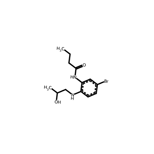 CCCC(=O)Nc1cc(Br)ccc1NCC(C)O